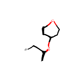 CC(C)CC(C)OC1CCOCC1